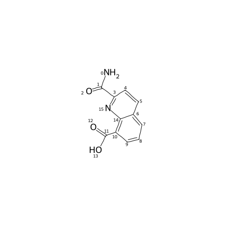 NC(=O)c1ccc2cccc(C(=O)O)c2n1